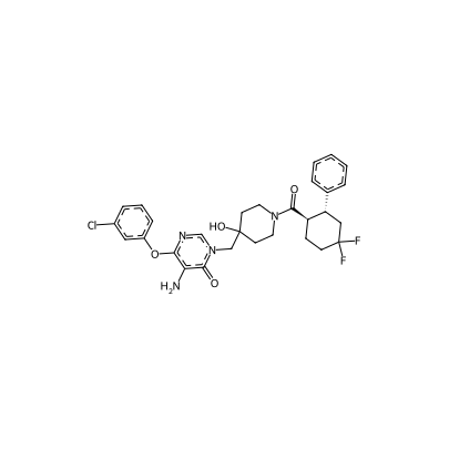 Nc1c(Oc2cccc(Cl)c2)ncn(CC2(O)CCN(C(=O)[C@@H]3CCC(F)(F)C[C@H]3c3ccccc3)CC2)c1=O